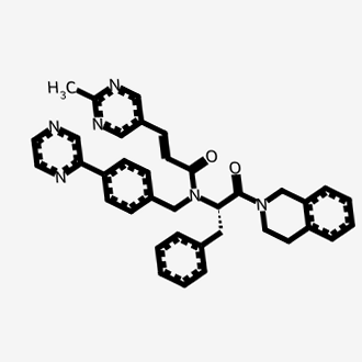 Cc1ncc(/C=C/C(=O)N(Cc2ccc(-c3cnccn3)cc2)[C@@H](Cc2ccccc2)C(=O)N2CCc3ccccc3C2)cn1